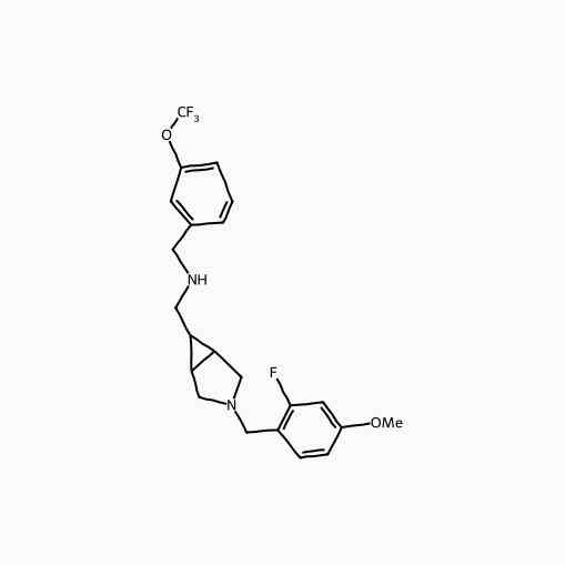 COc1ccc(CN2CC3C(CNCc4cccc(OC(F)(F)F)c4)C3C2)c(F)c1